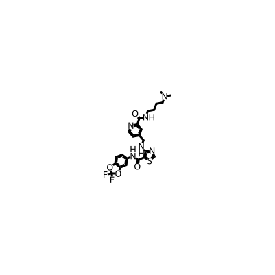 CN(C)CCCCNC(=O)c1cc(CNc2ncsc2C(=O)Nc2ccc3c(c2)OC(F)(F)O3)ccn1